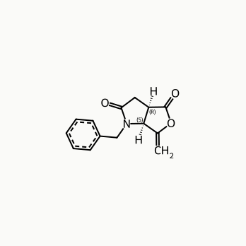 C=C1OC(=O)[C@@H]2CC(=O)N(Cc3ccccc3)[C@H]12